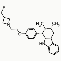 C[C@@H]1Cc2c([nH]c3ccccc23)[C@H](c2ccc(OCCN3CC(CF)C3)cc2)N1C